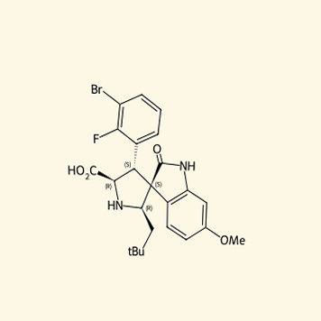 COc1ccc2c(c1)NC(=O)[C@]21[C@@H](CC(C)(C)C)N[C@@H](C(=O)O)[C@@H]1c1cccc(Br)c1F